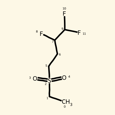 CCS(=O)(=O)CCC(F)C(F)F